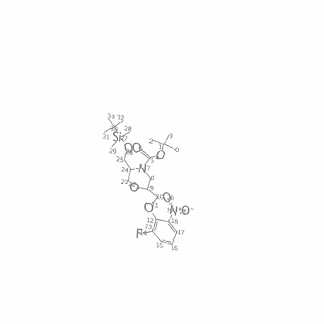 CC(C)(C)OC(=O)N1CC(COc2c(F)cccc2[N+](=O)[O-])OCC1CO[Si](C)(C)C(C)(C)C